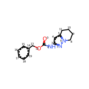 O=C(Nc1cc2n(n1)CCCC2)OCc1ccccc1